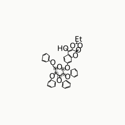 CCC(=O)Oc1c(O)c2ccc(O[C@H]3O[C@H](COc4ccccc4)[C@@H](Oc4ccccc4)[C@H](Oc4ccccc4)[C@@H]3Oc3ccccc3)cc2oc1=O